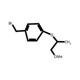 COCC(C)Oc1ccc(CBr)cc1